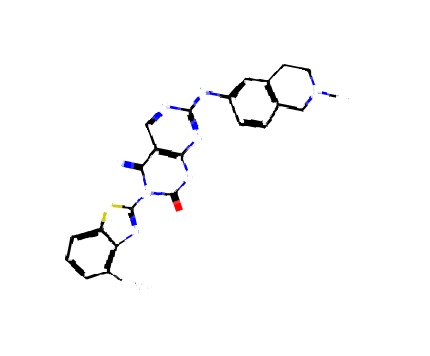 COc1cccc2sc(-n3c(=O)[nH]c4nc(Nc5ccc6c(c5)CCN(C)C6)ncc4c3=N)nc12